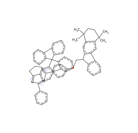 CC1(C)CCC(C)(C)c2cc3c(cc21)-c1ccccc1C3CCc1ccc(C2=C/CC/C(c3ccc4c(c3)C3(c5ccccc5-c5ccccc53)c3ccccc3-4)=N/C(c3ccccc3)=N\2)cc1